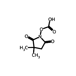 CC1(C)CC(=O)N(OC(=O)O)C1=O